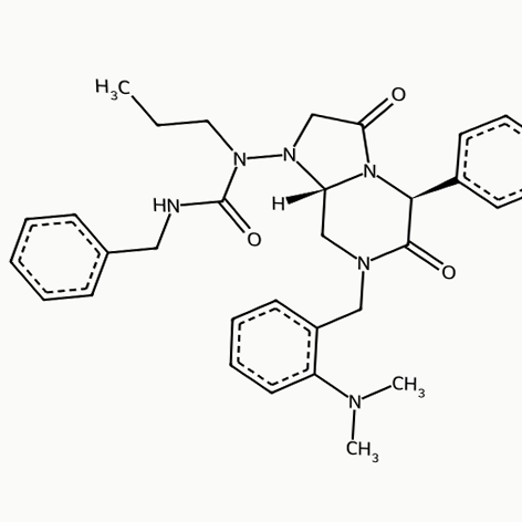 CCCN(C(=O)NCc1ccccc1)N1CC(=O)N2[C@@H](c3ccccc3)C(=O)N(Cc3ccccc3N(C)C)C[C@@H]21